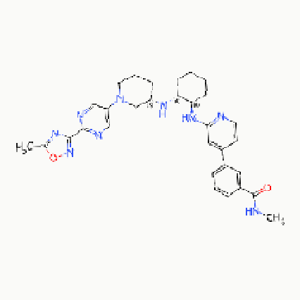 CNC(=O)c1cccc(-c2ccnc(N[C@@H]3CCCC[C@H]3N[C@H]3CCCN(c4cnc(-c5noc(C)n5)nc4)C3)c2)c1